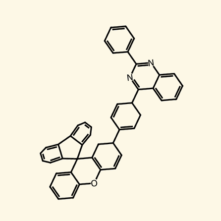 C1=CC(c2nc(-c3ccccc3)nc3ccccc23)CC=C1C1C=CC2=C(C1)C1(c3ccccc3O2)c2ccccc2-c2ccccc21